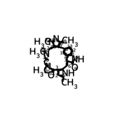 Cc1cc2c([nH]1)/C=C1\C(=O)Nc3ccc(cc31)-c1c(C)nn(C)c1CN(C)CCN(C)C2=O